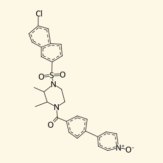 CC1C(C)N(S(=O)(=O)c2ccc3cc(Cl)ccc3c2)CCN1C(=O)c1ccc(-c2cc[n+]([O-])cc2)cc1